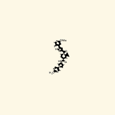 COc1cc(-c2cc(C(=O)N3CC[C@H](C(=O)N[C@H]4CCN(c5cnc(C)nc5)C4)CC34CC4)n[nH]2)c(F)cn1